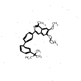 COc1cc2cc(-c3cccc(-c4cccc(C(C)(C)C)c4)c3)nc(C)c2cc1OC